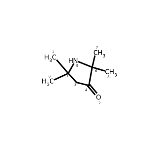 CC1(C)CC(=O)C(C)(C)N1